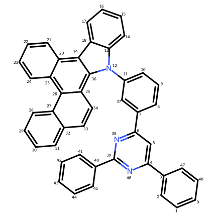 c1ccc(-c2cc(-c3cccc(-n4c5ccccc5c5c6ccccc6c6c7ccccc7ccc6c54)c3)nc(-c3ccccc3)n2)cc1